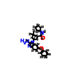 CN(C(=O)CCC(CC(C)(C)C)n1c(N)nc2ccc(Oc3ccccc3)cc21)C1CCCC1